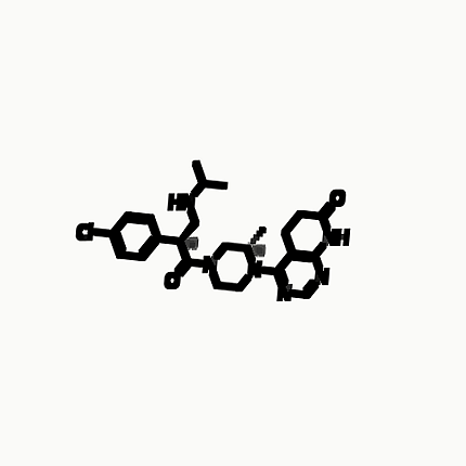 CC(C)NC[C@@H](C(=O)N1CCN(c2ncnc3c2CCC(=O)N3)[C@@H](C)C1)c1ccc(Cl)cc1